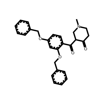 CN1CCC(=O)C(C(=O)c2ccc(OCc3ccccc3)cc2OCc2ccccc2)C1